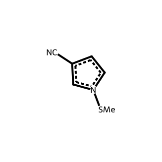 CSn1ccc(C#N)c1